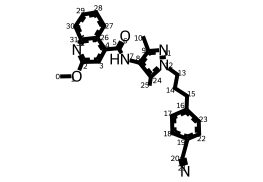 COc1cc(C(=O)Nc2c(C)nn(CCCc3ccc(C#N)cc3)c2C)c2ccccc2n1